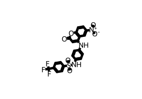 O=c1cc(Nc2ccc(NS(=O)(=O)c3ccc(C(F)(F)F)cc3)cc2)c2cc([N+](=O)[O-])ccc2o1